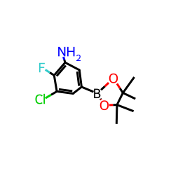 CC1(C)OB(c2cc(N)c(F)c(Cl)c2)OC1(C)C